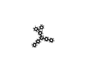 c1ccc(B(c2ccccc2)c2ccc(-c3cc(-c4ccc(-c5ccccc5)cc4)cc(-c4ccc(-c5ccccc5)cc4)n3)cc2)cc1